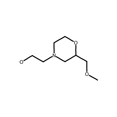 COCC1CN(CC[O])CCO1